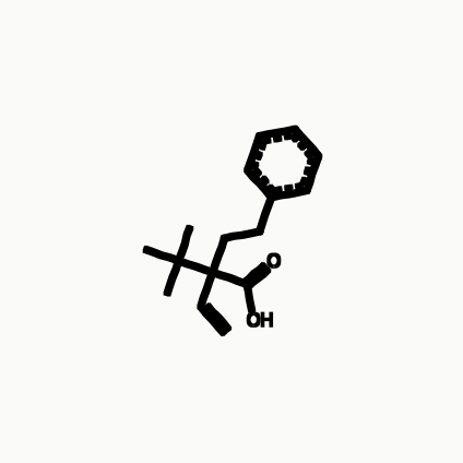 C=CC(CCc1ccccc1)(C(=O)O)C(C)(C)C